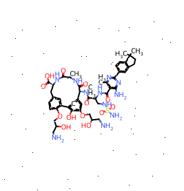 Cc1nc(-c2ccc3c(c2)CCC3(C)C)nc(N)c1C(=O)NC(CNS(N)(=O)=O)C(=O)N(C)[C@@H]1C(=O)N[C@@H](C)C(=O)N[C@H](C(=O)O)Cc2ccc(OCC(O)CN)c(c2)-c2cc1cc(OCC(O)CN)c2O